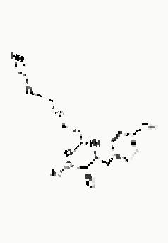 CC(C)(C)OC(=O)[C@H](Cc1ccc(O)cc1)NC(=O)CCOCCOCCN